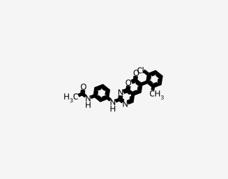 CC(=O)Nc1cccc(Nc2ncc3cc(-c4c(C)cccc4Cl)c(=O)oc3n2)c1